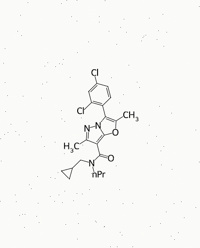 CCCN(CC1CC1)C(=O)c1c(C)nn2c(-c3ccc(Cl)cc3Cl)c(C)oc12